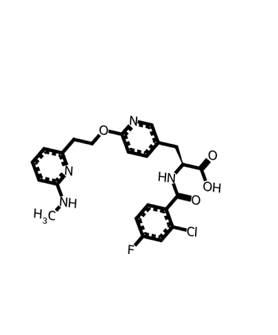 CNc1cccc(CCOc2ccc(C[C@H](NC(=O)c3ccc(F)cc3Cl)C(=O)O)cn2)n1